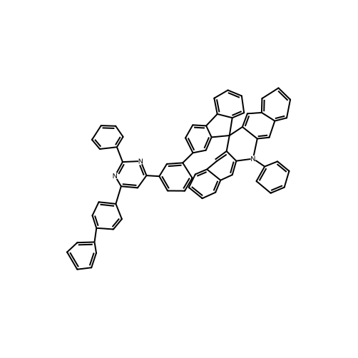 c1ccc(-c2ccc(-c3cc(-c4cccc(-c5ccc6c(c5)C5(c7ccccc7-6)c6cc7ccccc7cc6N(c6ccccc6)c6cc7ccccc7cc65)c4)nc(-c4ccccc4)n3)cc2)cc1